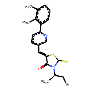 COc1cccc(-c2ccc(/C=C3\SC(S)N([C@@H](CC(C)C)C(=O)O)C3=O)cn2)c1OC